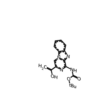 C=C(O)c1cn2c(nc3ccccc32)c(NC(=O)OC(C)(C)C)n1